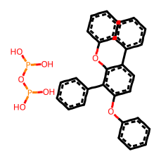 OP(O)OP(O)O.c1ccc(Oc2ccc(-c3ccccc3)c(Oc3ccccc3)c2-c2ccccc2)cc1